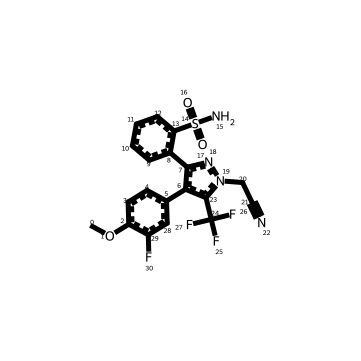 COc1ccc(-c2c(-c3ccccc3S(N)(=O)=O)nn(CC#N)c2C(F)(F)F)cc1F